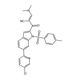 Cc1ccc(S(=O)(=O)n2c(C(=O)C(C#N)=CN(C)C)cc3ccc(-c4ccc(Cl)cn4)cc32)cc1